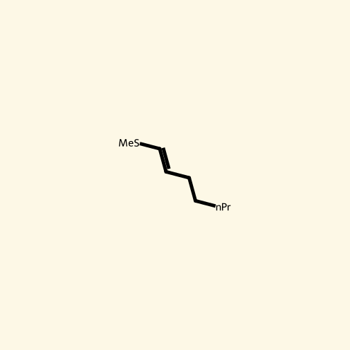 [CH2]CCCC/C=C/SC